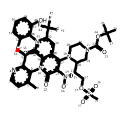 Cc1ccnc(C(C)C)c1-n1c(=O)c([N+](=O)[O-])c(N2CCN(C(=O)OC(C)(C)C)CC2CCOS(C)(=O)=O)c2cc(C(F)(F)F)n(-c3c(O)cccc3F)c(=O)c21